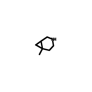 CC12CCNCC1C2